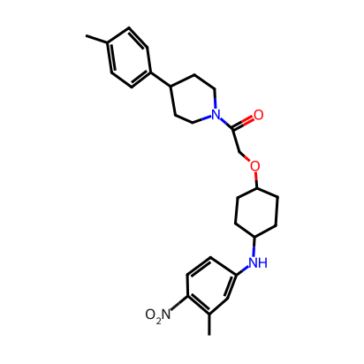 Cc1ccc(C2CCN(C(=O)COC3CCC(Nc4ccc([N+](=O)[O-])c(C)c4)CC3)CC2)cc1